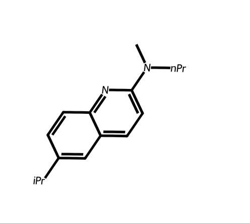 CCCN(C)c1ccc2cc(C(C)C)ccc2n1